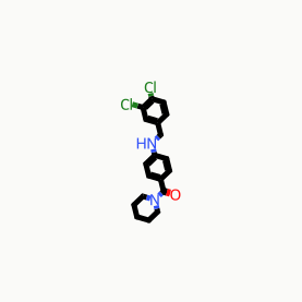 O=C(c1ccc(NCc2ccc(Cl)c(Cl)c2)cc1)N1CCCCC1